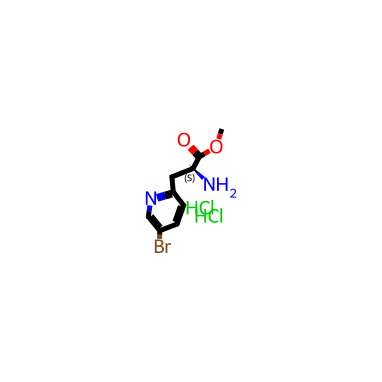 COC(=O)[C@@H](N)Cc1ccc(Br)cn1.Cl.Cl